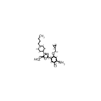 CCCCN1CCC(n2nc(-c3cc(Cl)c(N)cc3OCC3CC3)oc2=O)CC1.Cl